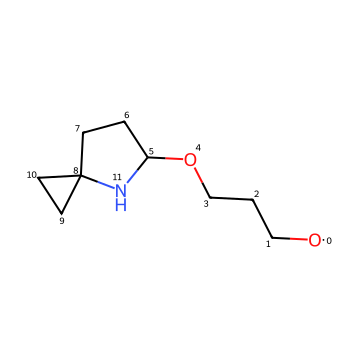 [O]CCCOC1CCC2(CC2)N1